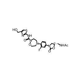 CC(=O)NC[C@H]1CN(c2ccc(N3CCON(C(=O)Nc4nc(CO)cs4)CC3)c(F)c2)C(=O)O1